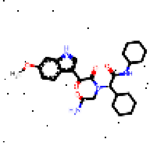 COc1ccc2c(C(=O)C(=O)N(CC(N)=O)[C@@H](C(=O)NC3CCCCC3)C3CCCCC3)c[nH]c2c1